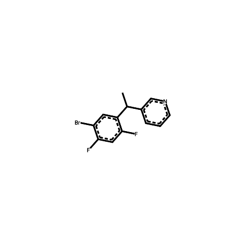 CC(c1cccnc1)c1cc(Br)c(F)cc1F